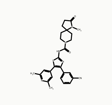 Cc1cc(-c2sc(NC(=O)N3CCC4(CCC(=O)N4C)CC3)nc2-c2cccc(C#N)c2)cc(C)n1